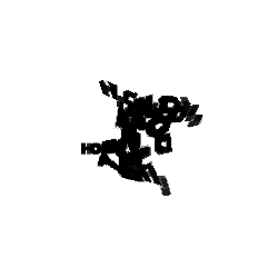 Cc1cc(Cl)ccc1C(C)n1nc(C)c2ncc(N3CCC(N4CCCC4C4CC4C(=O)O)C(C)C3)nc21